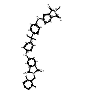 Cc1cccc(C)c1CN1C(=O)c2ccc(Oc3ccc(C(C)(C)c4ccc(Oc5ccc6c(c5)C(=O)N(C)C6=O)cc4)cc3)cc2C1=O